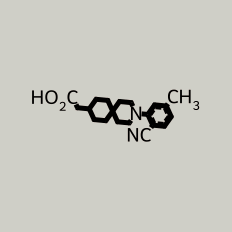 Cc1ccc(C#N)c(N2CCC3(CCC(CC(=O)O)CC3)CC2)c1